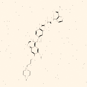 COC(=O)c1sccc1NC(=O)Nc1nc2ccc(Nc3ncnc4cc(OCCCN5CCN(C)CC5)c(OC)cc34)cc2s1